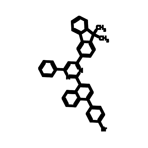 CC1(C)c2ccccc2-c2cc(-c3cc(-c4ccccc4)nc(-c4ccc(-c5ccc(Br)cc5)c5ccccc45)n3)ccc21